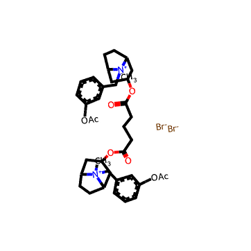 CC(=O)Oc1cccc(C[N+]2(C)C3CCC2CC(OC(=O)CCCC(=O)OC2CC4CCC(C2)[N+]4(C)Cc2cccc(OC(C)=O)c2)C3)c1.[Br-].[Br-]